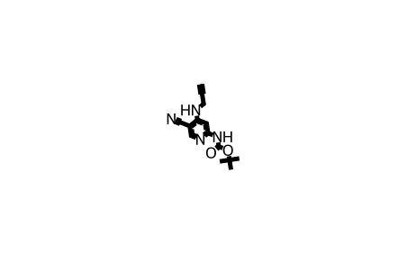 C#CCNc1cc(NC(=O)OC(C)(C)C)ncc1C#N